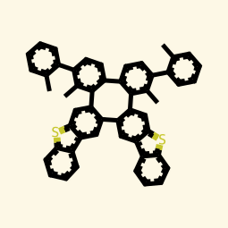 Cc1ccccc1-c1ccc2c(c1C)-c1cc3sc4ccccc4c3cc1-c1cc3c(cc1-c1c-2ccc(-c2ccccc2C)c1C)sc1ccccc13